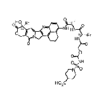 CC[C@@]1(O)C(=O)OCc2c1cc1n(c2=O)Cc2c-1nc1ccc(NC(=O)[C@H](C)NC(=O)[C@@H](NC(=O)COC(=O)NS(=O)(=O)N3CCC(C(=O)O)CC3)C(C)C)c3c1c2CCC3